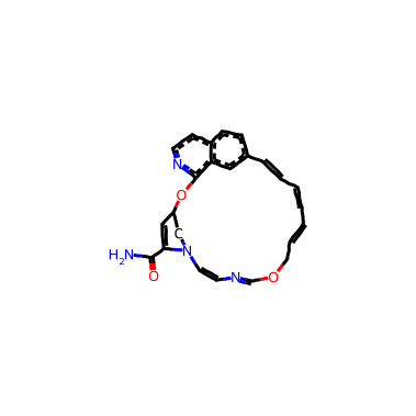 NC(=O)C1=CC2CN1/C=C\N=C\OC/C=C/C=C\C=C\c1ccc3ccnc(c3c1)O2